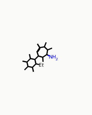 CCC1C(C)C(C)C(C)C(C)C1C1C=C(C)C(C)C(C)C(N)C1C